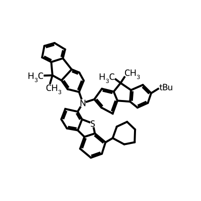 CC(C)(C)c1ccc2c(c1)C(C)(C)c1cc(N(c3ccc4c(c3)C(C)(C)c3ccccc3-4)c3cccc4c3sc3c(C5CCCCC5)cccc34)ccc1-2